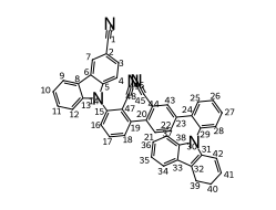 N#Cc1ccc2c(c1)c1ccccc1n2-c1cccc(-c2ccc(-c3ccccc3-n3c4c(c5ccccc53)CCC=C4)cc2C#N)c1C#N